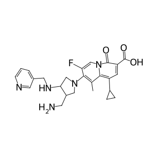 Cc1c(N2CC(CN)C(NCc3cccnc3)C2)c(F)cn2c(=O)c(C(=O)O)cc(C3CC3)c12